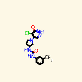 O=C(Nc1cccc(C(F)(F)F)c1)NC1CCN(c2cn[nH]c(=O)c2Cl)C1